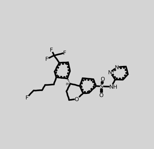 O=S(=O)(Nc1cccnn1)c1ccc2c(c1)OCC[C@@H]2c1ccc(C(F)(F)F)cc1CCCCF